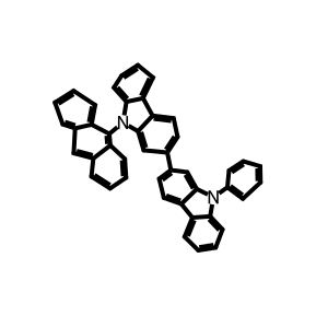 c1ccc(-n2c3ccccc3c3ccc(-c4ccc5c6ccccc6n(-c6c7ccccc7cc7ccccc67)c5c4)cc32)cc1